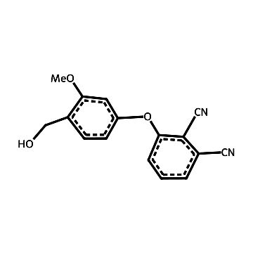 COc1cc(Oc2cccc(C#N)c2C#N)ccc1CO